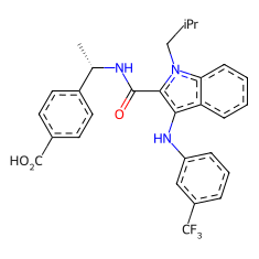 CC(C)Cn1c(C(=O)N[C@@H](C)c2ccc(C(=O)O)cc2)c(Nc2cccc(C(F)(F)F)c2)c2ccccc21